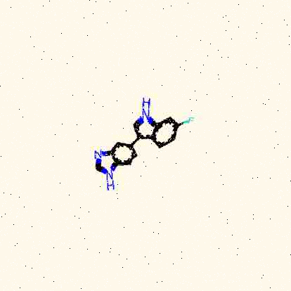 Fc1ccc2c(-c3ccc4[nH]cnc4c3)c[nH]c2c1